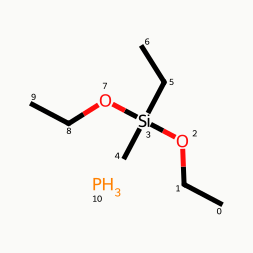 CCO[Si](C)(CC)OCC.P